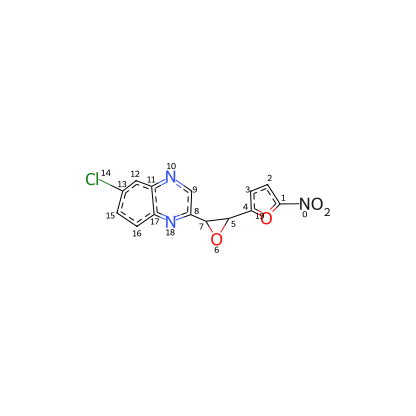 O=[N+]([O-])c1ccc(C2OC2c2cnc3cc(Cl)ccc3n2)o1